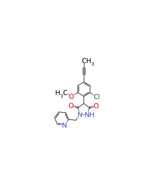 CC#Cc1cc(Cl)c(C2C(=O)NN(Cc3ccccn3)C2=O)c(OC)c1